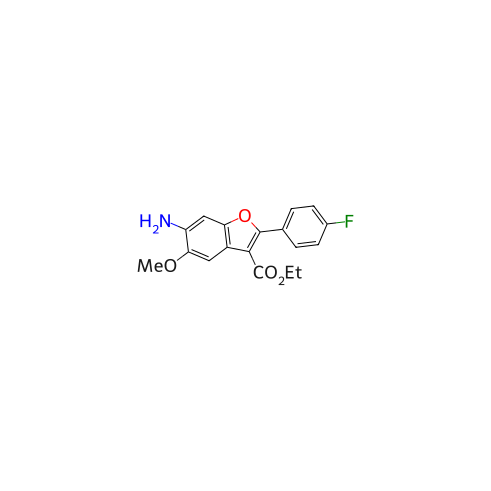 CCOC(=O)c1c(-c2ccc(F)cc2)oc2cc(N)c(OC)cc12